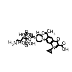 C=C(C)c1cc2c(=O)c(C(=O)O)cn(C3CC3)c2cc1N1CCN(C(=O)OC(CCCN)(P(=O)(O)O)P(=O)(O)O)CC1